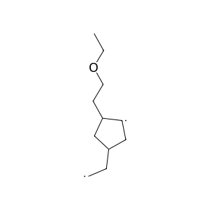 [CH2]CC1C[CH]C(CCOCC)C1